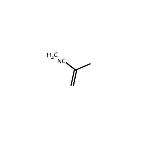 C.C=C(C)C#N